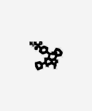 Cn1nc(-c2ccccc2)c2c(C(N)c3ccc(S(N)(=O)=O)cc3)nc(-c3ccccc3)nc21